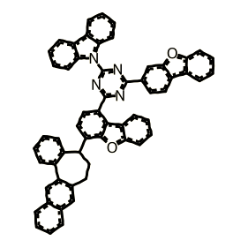 c1ccc2c(c1)-c1cc3ccccc3cc1CCC2c1ccc(-c2nc(-c3ccc4c(c3)oc3ccccc34)nc(-n3c4ccccc4c4ccccc43)n2)c2c1oc1ccccc12